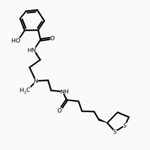 CN(CCNC(=O)CCCC[C@H]1CCSS1)CCNC(=O)c1ccccc1O